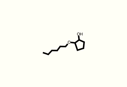 CCCCCCOC1CCCC1O